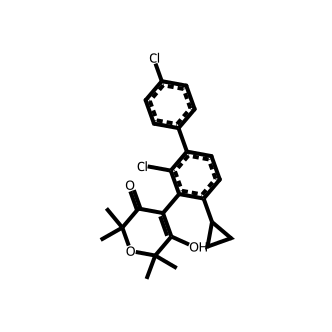 CC1(C)OC(C)(C)C(O)=C(c2c(C3CC3)ccc(-c3ccc(Cl)cc3)c2Cl)C1=O